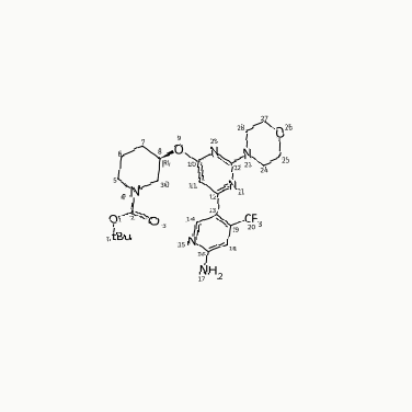 CC(C)(C)OC(=O)N1CCC[C@@H](Oc2cc(-c3cnc(N)cc3C(F)(F)F)nc(N3CCOCC3)n2)C1